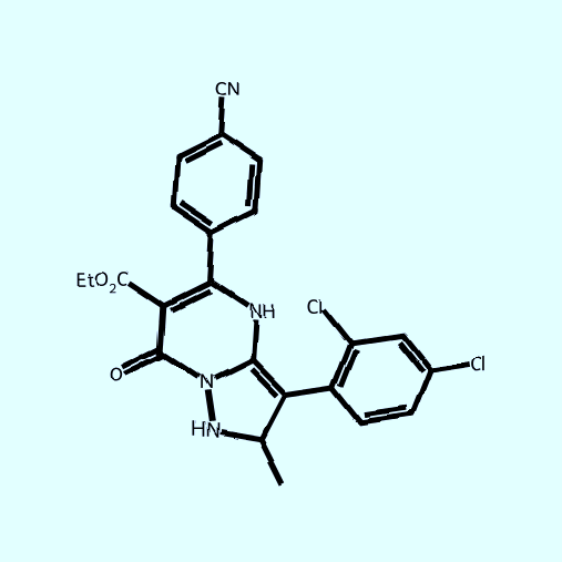 CCOC(=O)C1=C(c2ccc(C#N)cc2)NC2=C(c3ccc(Cl)cc3Cl)C(C)NN2C1=O